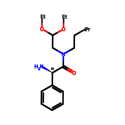 CCOC(CN(CCC(C)C)C(=O)[C@@H](N)c1ccccc1)OCC